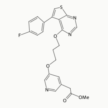 COC(=O)Cc1cncc(OCCCOc2ncnc3scc(-c4ccc(F)cc4)c23)c1